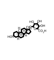 C[C@]12CC[C@@H](O)C[C@@H]1CC[C@@H]1[C@@H]2CC[C@]2(C)[C@@H](OC3O[C@H](C(=O)O)[C@@H](O)[C@H](O)[C@H]3O)CC[C@@H]12